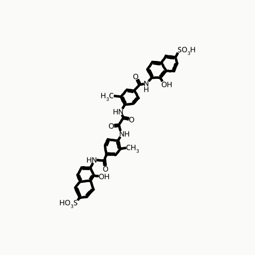 Cc1cc(C(=O)Nc2ccc3cc(S(=O)(=O)O)ccc3c2O)ccc1NC(=O)C(=O)Nc1ccc(C(=O)Nc2ccc3cc(S(=O)(=O)O)ccc3c2O)cc1C